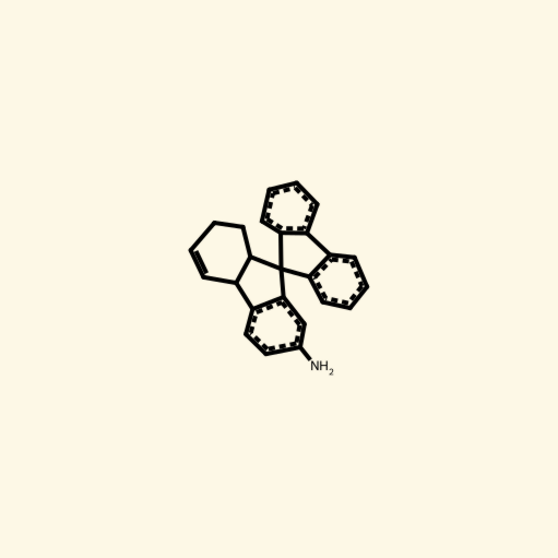 Nc1ccc2c(c1)C1(c3ccccc3-c3ccccc31)C1CCC=CC21